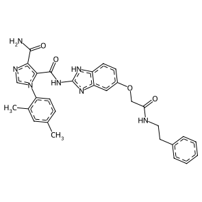 Cc1ccc(-n2cnc(C(N)=O)c2C(=O)Nc2nc3cc(OCC(=O)NCCc4ccccc4)ccc3[nH]2)c(C)c1